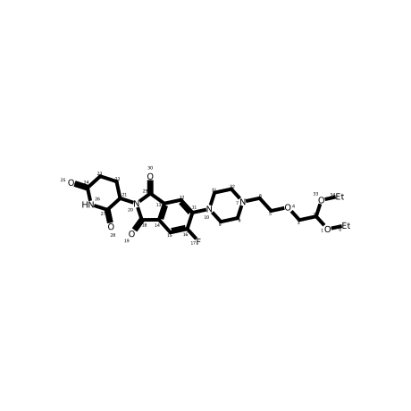 CCOC(COCCN1CCN(c2cc3c(cc2F)C(=O)N(C2CCC(=O)NC2=O)C3=O)CC1)OCC